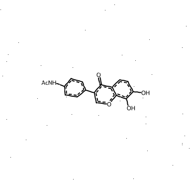 CC(=O)Nc1ccc(-c2coc3c(O)c(O)ccc3c2=O)cc1